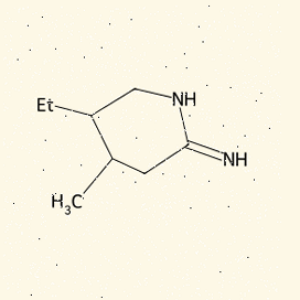 CCC1CNC(=N)CC1C